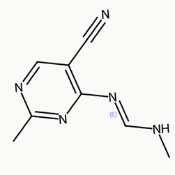 CN/C=N/c1nc(C)ncc1C#N